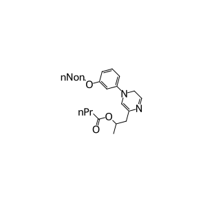 CCCCCCCCCOc1cccc(N2C=C(CC(C)OC(=O)CCC)N=CC2)c1